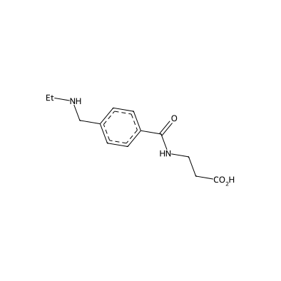 CCNCc1ccc(C(=O)NCCC(=O)O)cc1